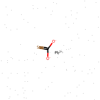 [O-]C([O-])=S.[Pb+2]